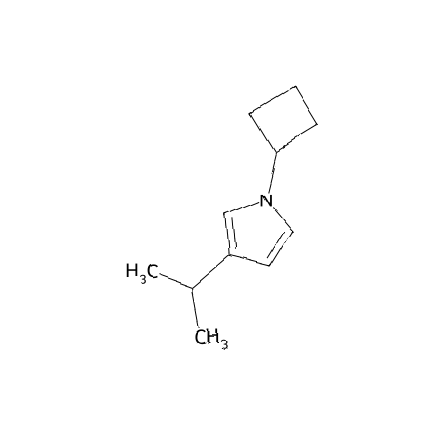 CC(C)c1ccn(C2CCC2)c1